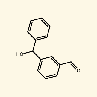 O=Cc1cccc(C(O)c2ccccc2)c1